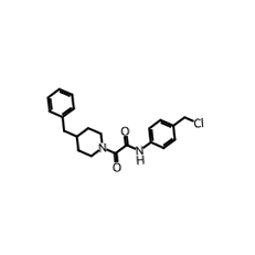 O=C(Nc1ccc(CCl)cc1)C(=O)N1CCC(Cc2ccccc2)CC1